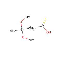 CCCCCCCC(O)=S.CCCC[Si](C)(OC(C)C)OC(C)C